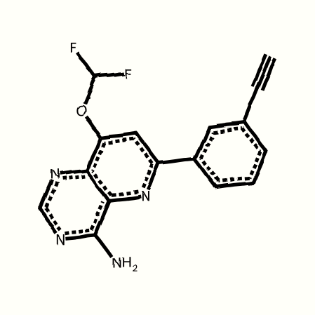 C#Cc1cccc(-c2cc(OC(F)F)c3ncnc(N)c3n2)c1